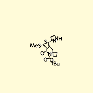 CSc1sc(-c2cc[nH]n2)c2c1C(=O)N(C(=O)OC(C)(C)C)C1(CCC1)C2